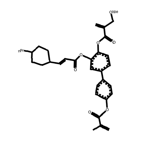 C=C(C)C(=O)Oc1ccc(-c2ccc(OC(=O)C(=C)COC)c(OC(=O)/C=C/C3CCC(CCC)CC3)c2)cc1